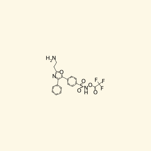 NCCc1nc(-c2ccccc2)c(-c2ccc(S(=O)(=O)NOC(=O)C(F)(F)F)cc2)o1